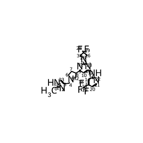 Cc1nc(CN2CCC(c3cc(Nc4cc(C(F)(F)F)ccn4)nc(N4CC(F)(F)C4)n3)C2)c[nH]1